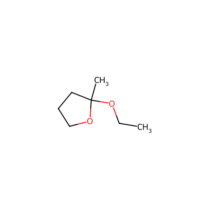 CCOC1(C)CCCO1